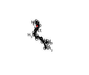 CCc1c2c(nc3ccc(OC(=O)N(C)CCN(C)C(=O)OCc4ccc(NC(=O)[C@H](CCCNC(N)=O)NC(=O)[C@@H](C)C(C)C)cc4)cc13)-c1cc3c(c(=O)n1C2)COC(=O)[C@]3(O)CC